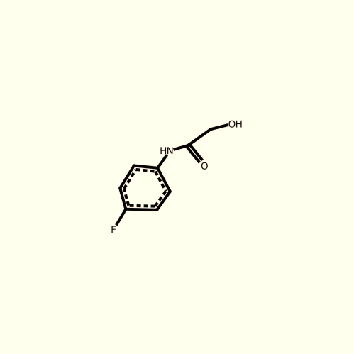 O=C(CO)Nc1ccc(F)cc1